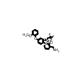 COc1ccccc1Oc1ccc([N+]2(S(=O)(=O)CC(F)(F)F)CC=CC(CN)=C2Cl)cc1